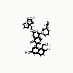 CCc1c(F)ccc2cc(O)cc(-c3ncc4c(N5CCCC(C#N)C5)nc(OC[C@@]56CCCN5C[C@H](F)C6)nc4c3F)c12